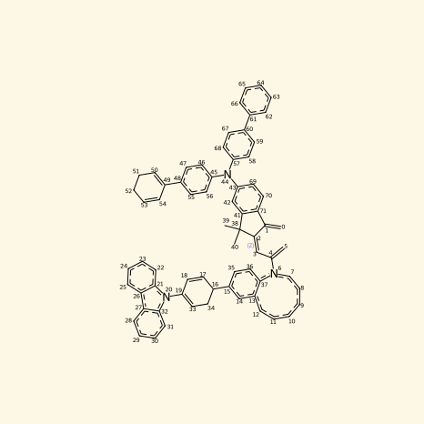 C=C1/C(=C\C(=C)n2ccccccc3cc(C4C=CC(n5c6ccccc6c6ccccc65)=CC4)ccc32)C(C)(C)c2cc(N(c3ccc(C4=CCCC=C4)cc3)c3ccc(-c4ccccc4)cc3)ccc21